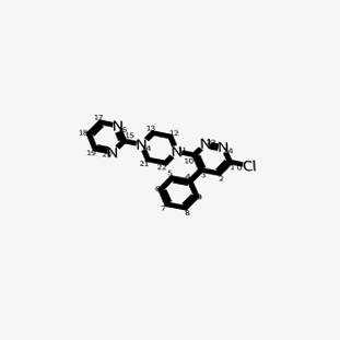 Clc1cc(-c2ccccc2)c(N2CCN(c3ncccn3)CC2)nn1